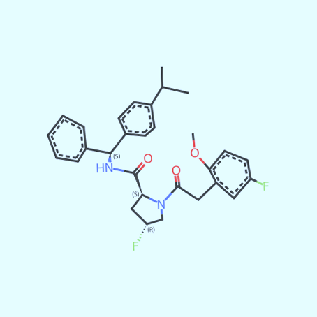 COc1ccc(F)cc1CC(=O)N1C[C@H](F)C[C@H]1C(=O)N[C@@H](c1ccccc1)c1ccc(C(C)C)cc1